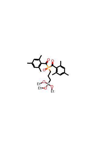 CCO[Si](CCCP(=O)(C(=O)c1c(C)cc(C)cc1C)C(=O)c1c(C)cc(C)cc1C)(OCC)OCC